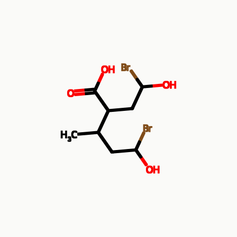 CC(CC(O)Br)C(CC(O)Br)C(=O)O